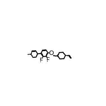 C=CC1CCC(COc2ccc(C3C=CC(C)CC3)c(F)c2F)CC1